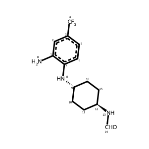 Nc1cc(C(F)(F)F)ccc1N[C@H]1CC[C@H](NC=O)CC1